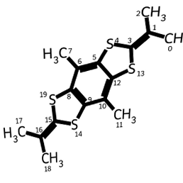 CC(C)=C1Sc2c(C)c3c(c(C)c2S1)SC(=C(C)C)S3